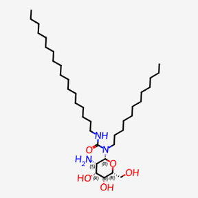 CCCCCCCCCCCCCCCCCCNC(=O)N(CCCCCCCCCCCC)[C@@H]1O[C@H](CO)[C@H](O)[C@H](O)[C@@H]1N